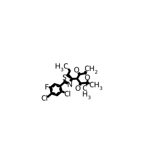 C=C1OC(C)(C)C(=O)C(c2nc(-c3cc(F)c(Cl)cc3Cl)sc2CC)C1=O